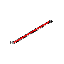 OCCOCCOCCOCCOCCOCCOCCOCCOCCOCCOCCOCCOCCOCCOCCOSOCCOCCOCCOCCOCCOCCOCCOCCOCCOCCOCCOCCOCCOCCOCCO